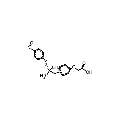 CC(C)(Cc1ccc(OCC(=O)O)cc1)OSc1ccc(N=O)cc1